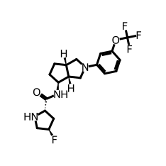 O=C(N[C@H]1CC[C@@H]2CN(c3cccc(OC(F)(F)F)c3)C[C@@H]21)[C@@H]1C[C@@H](F)CN1